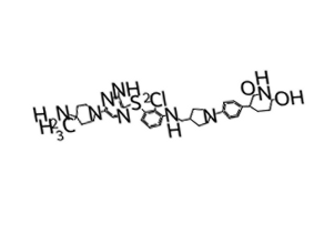 CC1(N)CCN(c2cnc(Sc3cccc(NCC4CCN(c5ccc(C6CCC(O)NC6=O)cc5)CC4)c3Cl)c(N)n2)CC1